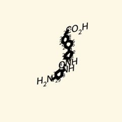 NCc1ccc(NC(=O)Nc2ccc(C3CCC4CC(CC(=O)O)CCC4C3)cc2)cc1